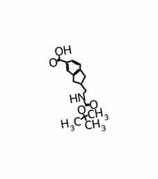 CC(C)(C)OC(=O)NCC1Cc2ccc(C(=O)O)cc2C1